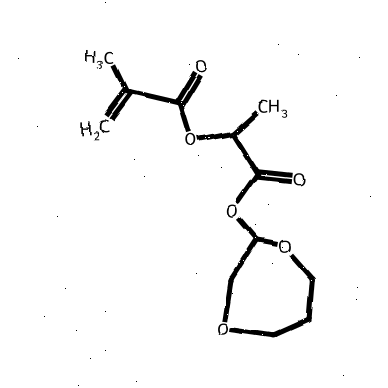 C=C(C)C(=O)OC(C)C(=O)OC1COCCCO1